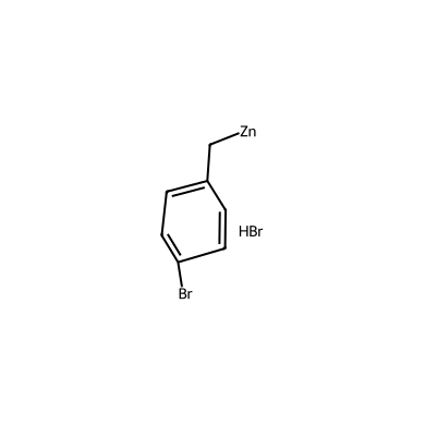 Br.[Zn][CH2]c1ccc(Br)cc1